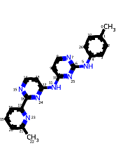 Cc1ccc(Nc2nccc(Nc3ccnc(-c4cccc(C)n4)n3)n2)cc1